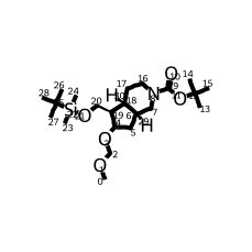 COCOC1C[C@H]2CN(C(=O)OC(C)(C)C)CC[C@H]2[C@@H]1CO[Si](C)(C)C(C)(C)C